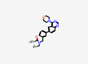 CCCC(=O)N(Cc1cccc(-c2ccc3ncnc(N4CCOCC4)c3c2)c1)CC(C)C